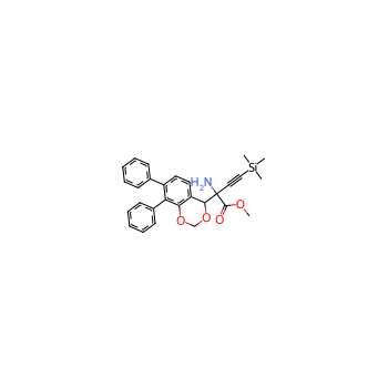 COC(=O)C(N)(C#C[Si](C)(C)C)C1OCOc2c1ccc(-c1ccccc1)c2-c1ccccc1